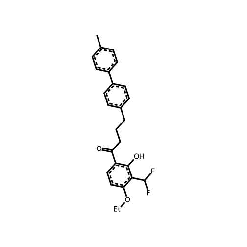 CCOc1ccc(C(=O)CCCc2ccc(-c3ccc(C)cc3)cc2)c(O)c1C(F)F